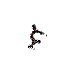 COC(=O)CCc1ccc(N(c2ccc(-c3cccs3)cc2)c2ccc(-c3ccc(-c4ccc(-c5ccc(N(c6ccc(CCC(=O)OC)cc6)c6ccc(-c7cccs7)cc6)cc5)s4)s3)cc2)cc1